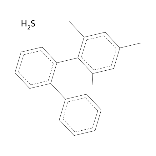 Cc1cc(C)c(-c2ccccc2-c2ccccc2)c(C)c1.S